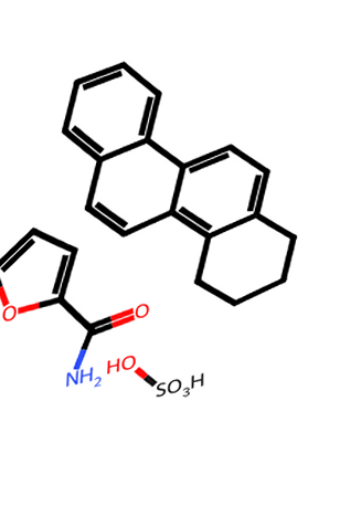 NC(=O)c1ccco1.O=S(=O)(O)O.c1ccc2c(c1)ccc1c3c(ccc12)CCCC3